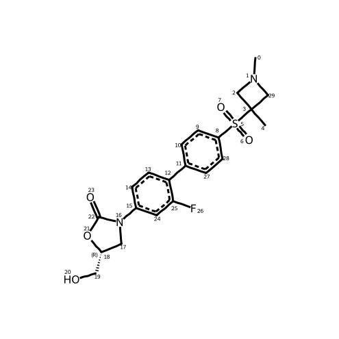 CN1CC(C)(S(=O)(=O)c2ccc(-c3ccc(N4C[C@H](CO)OC4=O)cc3F)cc2)C1